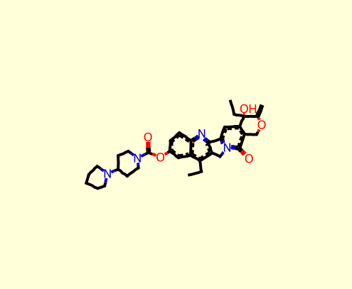 C=C1OCc2c(cc3n(c2=O)Cc2c-3nc3ccc(OC(=O)N4CCC(N5CCCCC5)CC4)cc3c2CC)[C@@]1(O)CC